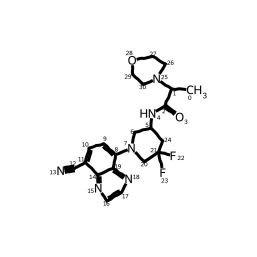 CC(C(=O)NC1CN(c2ccc(C#N)c3nccnc23)CC(F)(F)C1)N1CCOCC1